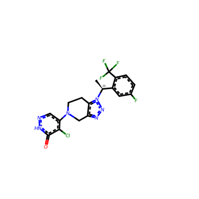 C[C@@H](c1cc(F)ccc1C(F)(F)F)n1nnc2c1CCN(c1cn[nH]c(=O)c1Cl)C2